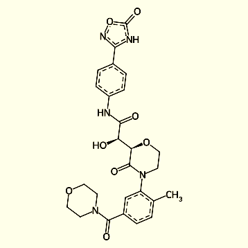 Cc1ccc(C(=O)N2CCOCC2)cc1N1CCO[C@H]([C@@H](O)C(=O)Nc2ccc(-c3noc(=O)[nH]3)cc2)C1=O